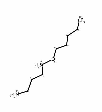 NCCC[SiH2]OCCCCC(F)(F)F